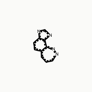 c1cnnc2c(c1)ccc1ncnc12